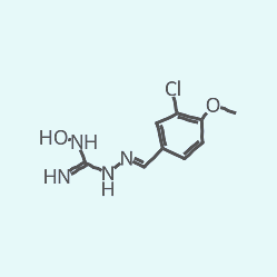 COc1ccc(C=NNC(=N)NO)cc1Cl